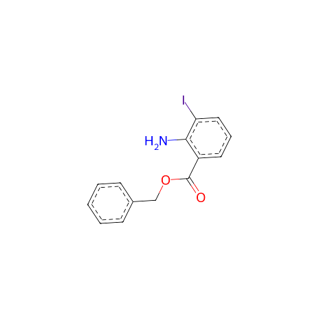 Nc1c(I)cccc1C(=O)OCc1ccccc1